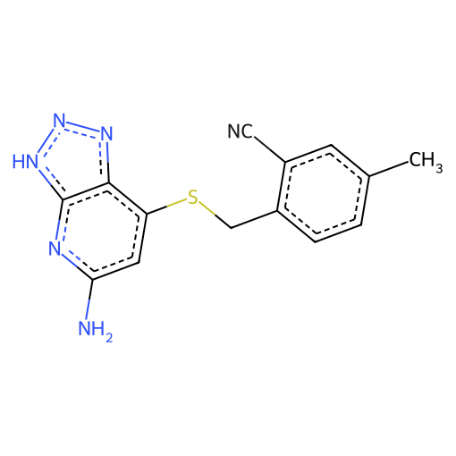 Cc1ccc(CSc2cc(N)nc3[nH]nnc23)c(C#N)c1